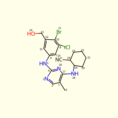 Cc1cnc(Nc2cc(Cl)c(Br)c(CO)c2)nc1NC1CCCCC1C#N